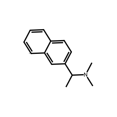 CC(c1ccc2ccc[c]c2c1)N(C)C